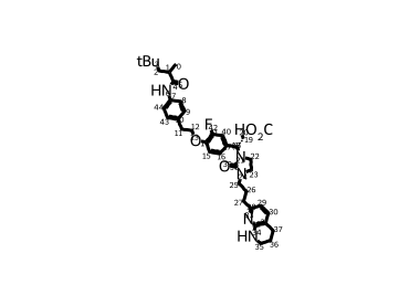 CC(CC(C)(C)C)C(=O)Nc1ccc(CCOc2ccc([C@H](CC(=O)O)N3CCN(CCCc4ccc5c(n4)NCCC5)C3=O)cc2F)cc1